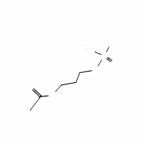 CC(=O)OCCCOP(=O)(O)O